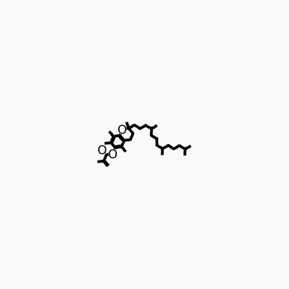 C=C(C)C(=O)Oc1c(C)c(C)c2c(c1C)CCC(C)(CCCC(C)CCCC(C)CCCC(C)C)O2